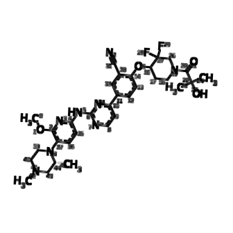 COc1nc(Nc2nccc(-c3ccc(OC4CCN(C(=O)C(C)(C)O)CC4(F)F)c(C#N)c3)n2)ccc1N1CCN(C)C[C@H]1C